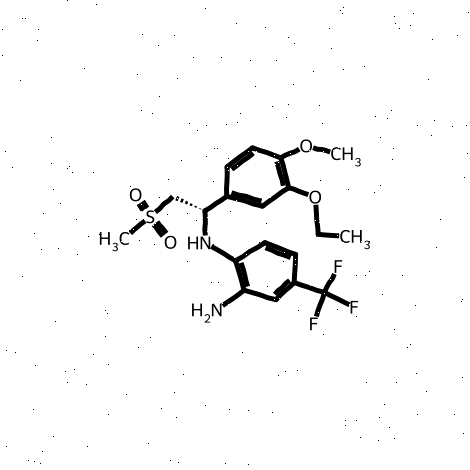 CCOc1cc([C@@H](CS(C)(=O)=O)Nc2ccc(C(F)(F)F)cc2N)ccc1OC